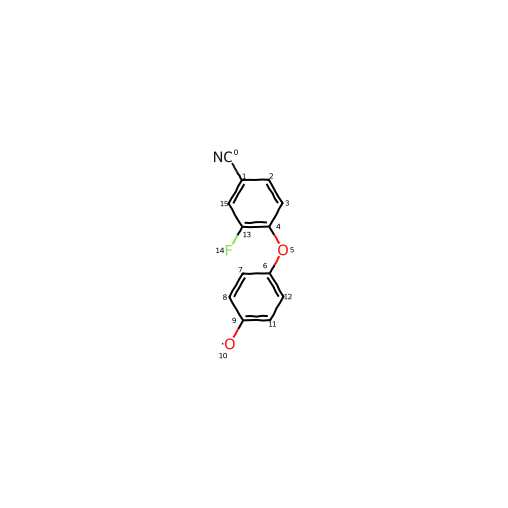 N#Cc1ccc(Oc2ccc([O])cc2)c(F)c1